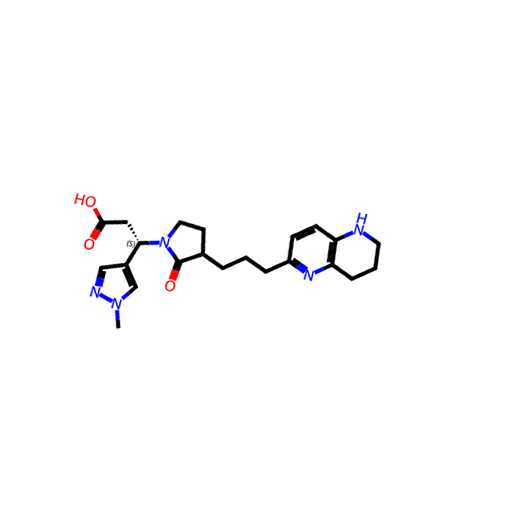 Cn1cc([C@H](CC(=O)O)N2CCC(CCCc3ccc4c(n3)CCCN4)C2=O)cn1